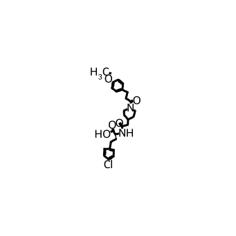 CCOc1ccc(CCC(=O)N2CCC(CC(=O)N[C@@H](CCc3ccc(Cl)cc3)C(=O)O)CC2)cc1